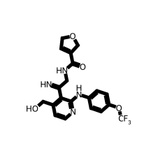 N=C(CNC(=O)C1=CCOC1)c1c(CO)ccnc1Nc1ccc(OC(F)(F)F)cc1